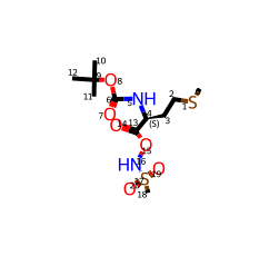 CSCC[C@H](NC(=O)OC(C)(C)C)C(=O)ONS(C)(=O)=O